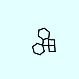 C1CCC(C2(C34CCC3CC4)CCCCC2)CC1